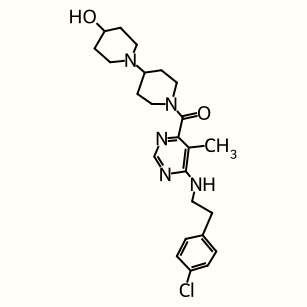 Cc1c(NCCc2ccc(Cl)cc2)ncnc1C(=O)N1CCC(N2CCC(O)CC2)CC1